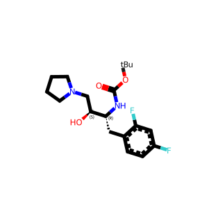 CC(C)(C)OC(=O)N[C@H](Cc1ccc(F)cc1F)[C@@H](O)CN1CCCC1